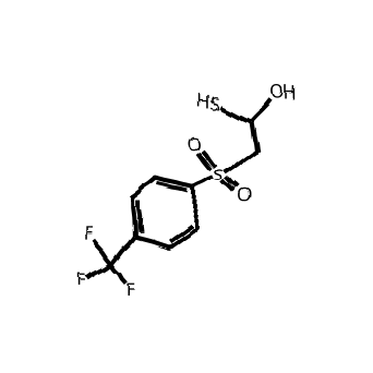 O=S(=O)(CC(O)S)c1ccc(C(F)(F)F)cc1